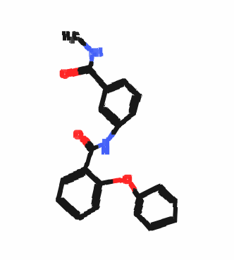 CNC(=O)c1cccc(NC(=O)c2ccccc2Oc2ccccc2)c1